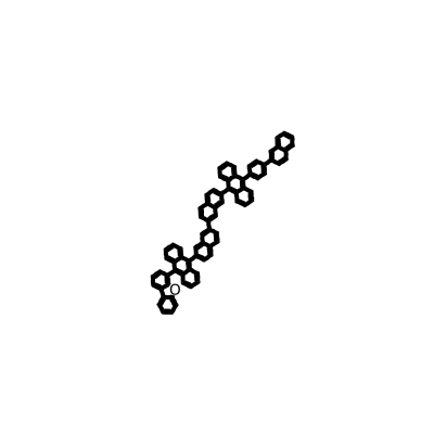 c1ccc2cc(-c3ccc(-c4c5ccccc5c(-c5ccc6ccc(-c7ccc8ccc(-c9c%10ccccc%10c(-c%10cccc%11c%10oc%10ccccc%10%11)c%10ccccc9%10)cc8c7)cc6c5)c5ccccc45)cc3)ccc2c1